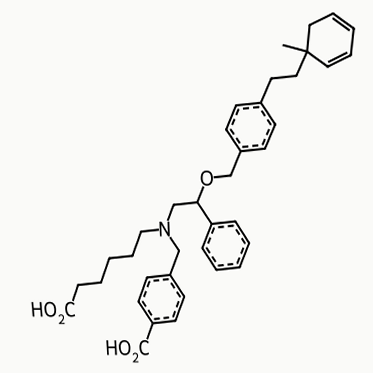 CC1(CCc2ccc(COC(CN(CCCCCC(=O)O)Cc3ccc(C(=O)O)cc3)c3ccccc3)cc2)C=CC=CC1